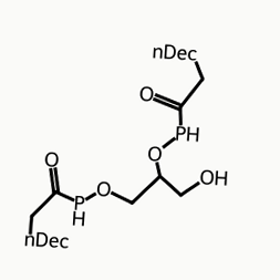 CCCCCCCCCCCC(=O)POCC(CO)OPC(=O)CCCCCCCCCCC